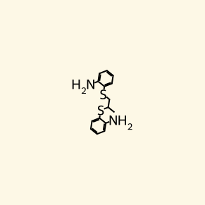 CC(CSc1ccccc1N)Sc1ccccc1N